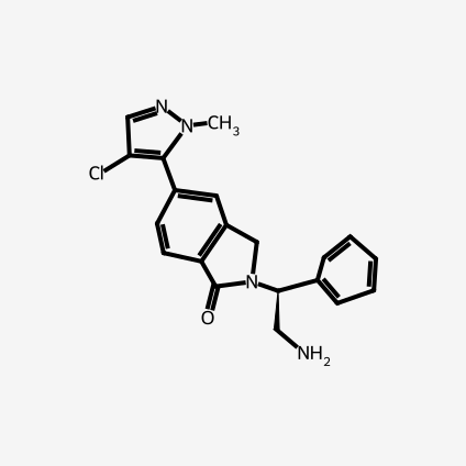 Cn1ncc(Cl)c1-c1ccc2c(c1)CN([C@H](CN)c1ccccc1)C2=O